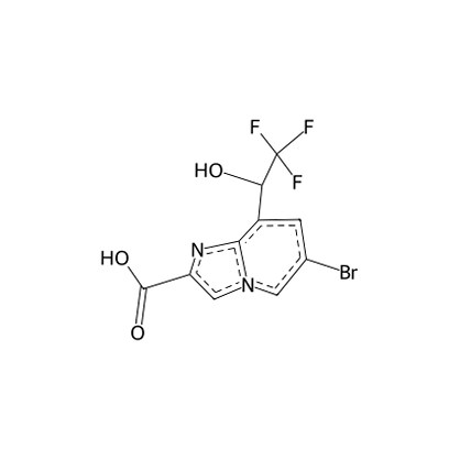 O=C(O)c1cn2cc(Br)cc(C(O)C(F)(F)F)c2n1